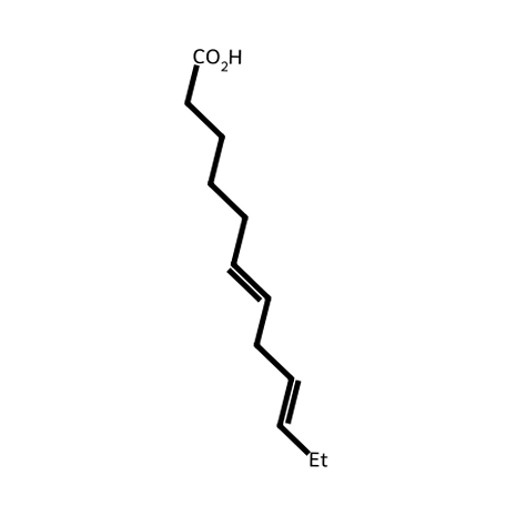 CCC=CCC=CCCCCC(=O)O